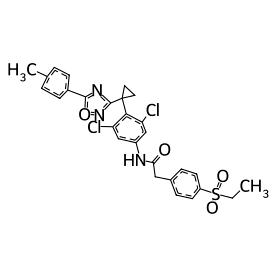 CCS(=O)(=O)c1ccc(CC(=O)Nc2cc(Cl)c(C3(c4noc(-c5ccc(C)cc5)n4)CC3)c(Cl)c2)cc1